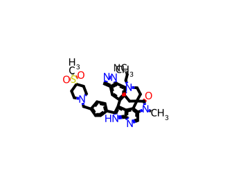 CN1C(=O)C2(CCN(CCC#N)CC2)c2c1cnc1[nH]c(-c3ccc(CN4CCC(S(C)(=O)=O)CC4)cc3)c(-c3ccc4c(cnn4C)c3)c21